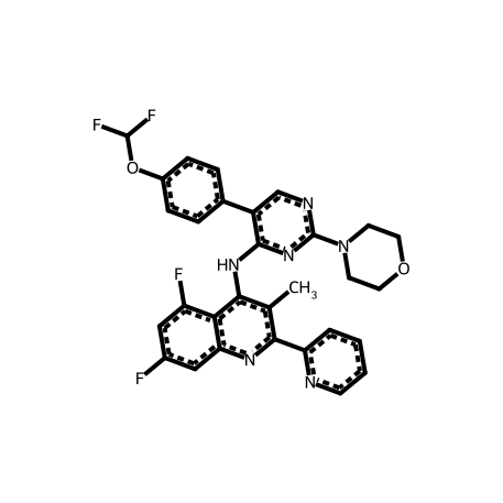 Cc1c(-c2ccccn2)nc2cc(F)cc(F)c2c1Nc1nc(N2CCOCC2)ncc1-c1ccc(OC(F)F)cc1